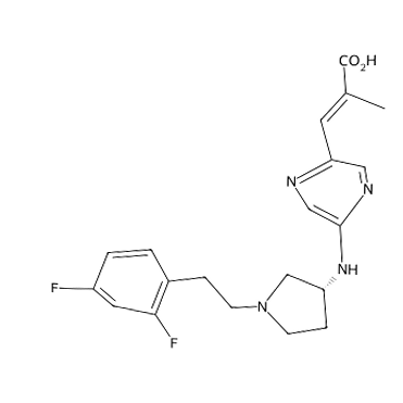 CC(=Cc1cnc(N[C@@H]2CCN(CCc3ccc(F)cc3F)C2)cn1)C(=O)O